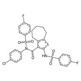 O=C(c1c(NS(=O)(=O)c2ccc(F)cc2)sc2c1CCCCC2)N(c1ccc(Cl)cc1)S(=O)(=O)c1ccc(F)cc1